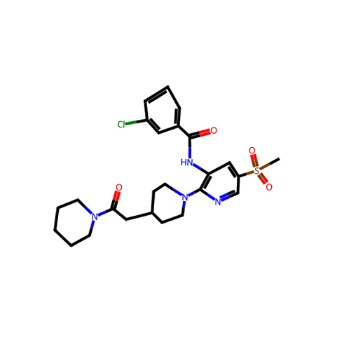 CS(=O)(=O)c1cnc(N2CCC(CC(=O)N3CCCCC3)CC2)c(NC(=O)c2cccc(Cl)c2)c1